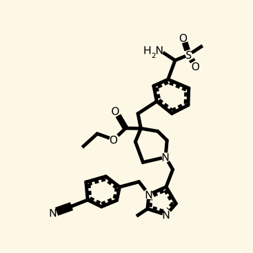 CCOC(=O)C1(Cc2cccc(C(N)S(C)(=O)=O)c2)CCN(Cc2cnc(C)n2Cc2ccc(C#N)cc2)CC1